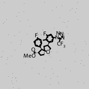 COC(=O)[C@H]1CC[C@@]2(C[C@@H](c3cc(-n4nnnc4C(F)(F)F)cc(F)c3C)CO2)[C@@H]1c1ccc(F)cc1